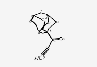 C#CC(=O)C12CC3CC(CC1C3)C2